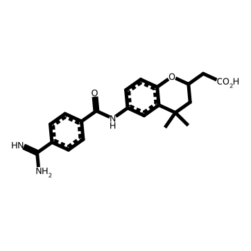 CC1(C)CC(CC(=O)O)Oc2ccc(NC(=O)c3ccc(C(=N)N)cc3)cc21